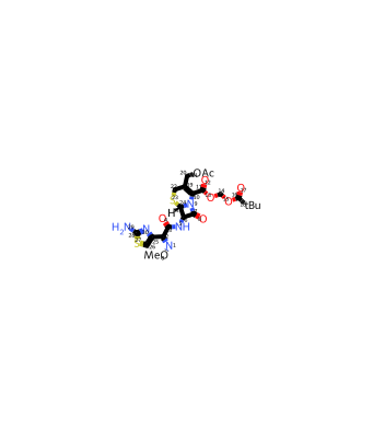 CON=C(C(=O)NC1C(=O)N2C(C(=O)OCOC(=O)C(C)(C)C)=C(COC(C)=O)CS[C@@H]12)c1csc(N)n1